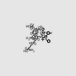 C[C@H](NC(=O)CN1C(=O)C=CC1=O)C(=O)N[C@@H](C)C(=O)N[C@@H](CC(N)=O)C(=O)N[C@@H](CCN(C(=O)CO)[C@@H](c1cc(-c2cc(F)ccc2F)cn1Cc1ccccc1)C(C)(C)C)C(=O)NCCC(=O)NCCCC[C@H](N)C(=O)O.O=C(O)C(F)(F)F